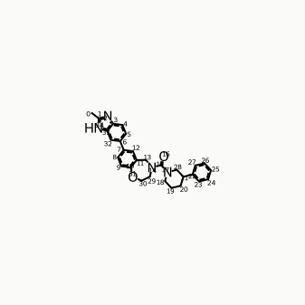 Cc1nc2ccc(-c3ccc4c(c3)CN(C(=O)N3CCCC(c5ccccc5)C3)CCO4)cc2[nH]1